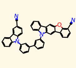 N#Cc1ccc2c(c1)c1ccccc1n2-c1cccc(-c2cccc(-n3c4ccccc4c4cc5oc6c(C#N)cccc6c5cc43)c2)c1